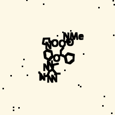 CNC(=O)OCCC(Oc1cc(N2CCCC2=O)ccc1-n1nc2c(N(C)C)nnc(C)c2c1C)c1ccccc1